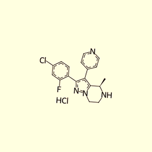 C[C@H]1NCCn2nc(-c3ccc(Cl)cc3F)c(-c3ccncc3)c21.Cl